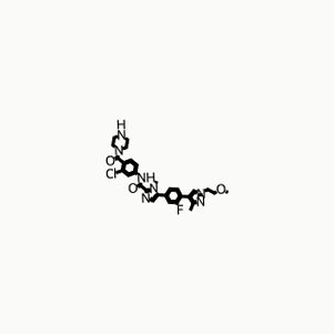 COCCn1cc(-c2ccc(-c3cnc(C(=O)Nc4ccc(C(=O)N5CCNCC5)c(Cl)c4)n3C)cc2F)c(C)n1